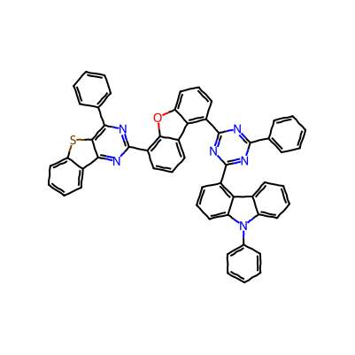 c1ccc(-c2nc(-c3cccc4oc5c(-c6nc(-c7ccccc7)c7sc8ccccc8c7n6)cccc5c34)nc(-c3cccc4c3c3ccccc3n4-c3ccccc3)n2)cc1